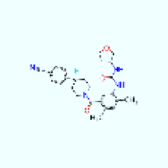 Cc1cc(C)c(C(=O)N2CCC(F)(c3ccc(C#N)cc3)CC2)cc1NC(=O)NC1CCOC1